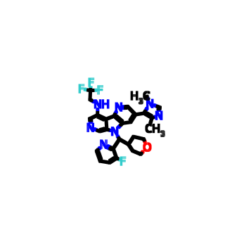 Cc1ncn(C)c1-c1cnc2c3c(NCC(F)(F)F)cncc3n(C(c3ncccc3F)C3CCOCC3)c2c1